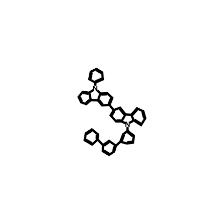 c1ccc(-c2cccc(-c3cccc(-n4c5ccccc5c5cc(-c6ccc7c(c6)c6ccccc6n7-c6ccccc6)ccc54)c3)c2)cc1